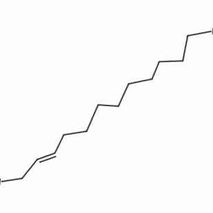 ICC=CCCCCCCCCCI